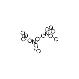 CC1(C)c2ccccc2-c2cc3c4cc(-c5ccc(N(c6ccc(-c7ccccc7)cc6)c6cccc7oc8ccccc8c67)cc5)ccc4n(-c4ccc(-c5cccc6c5oc5ccccc56)cc4)c3cc21